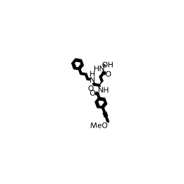 COCC#Cc1ccc(C(=O)N[C@H](CCC(=O)NO)C(=O)NCCCc2ccccc2)cc1